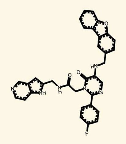 O=C(Cn1c(-c2ccc(F)cc2)ncc(NCc2ccc3oc4ccccc4c3c2)c1=O)NCc1cc2cnccc2[nH]1